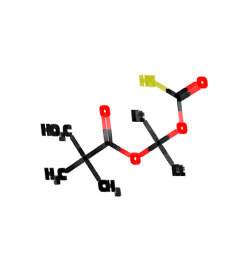 CCC(CC)(OC(=O)S)OC(=O)C(C)(C)C(=O)O